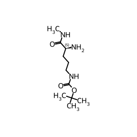 CNC(=O)[C@@H](N)CCCNC(=O)OC(C)(C)C